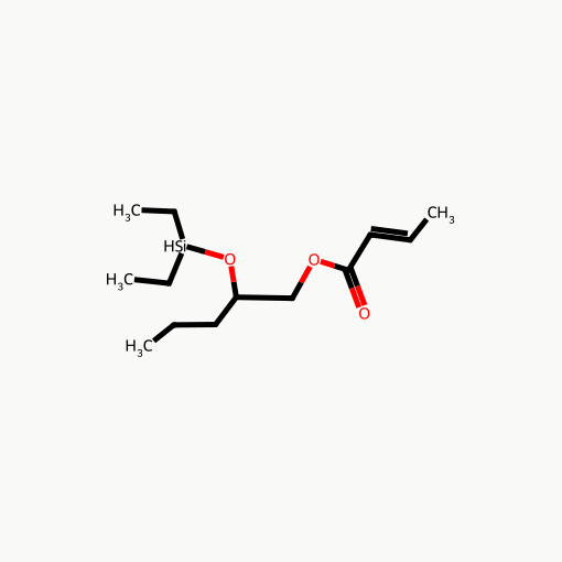 CC=CC(=O)OCC(CCC)O[SiH](CC)CC